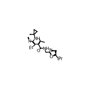 C=N/C(NC1(C)CC1)=C(\CC)C(C(=O)NCc1ncc(C(C)C)o1)=C(C)C